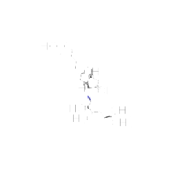 CC(C)=CCC(C)[C@H](O)/C=C/[C@@H]1[C@H]2C[C@H](CCCCC(=O)O)O[C@H]2C[C@H]1O